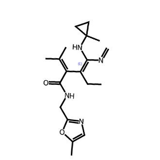 C=N/C(NC1(C)CC1)=C(\CC)C(C(=O)NCc1ncc(C)o1)=C(C)C